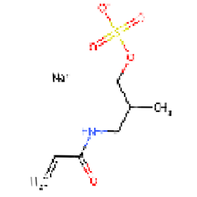 C=CC(=O)NCC(C)COS(=O)(=O)[O-].[Na+]